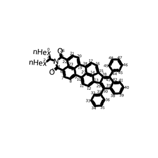 CCCCCCC(CCCCCC)N1C(=O)c2ccc3c4ccc5c6c(ccc(c7ccc(c2c37)C1=O)c64)-c1c-5c(-c2ccccc2)c2ccccc2c1-c1ccccc1